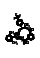 Cc1cccc(C)c1-c1cc2nc(n1)NS(=O)(=O)c1cccc(c1)C(=O)N[C@H](C)[C@@H](c1ccc(C(F)(F)F)cc1)O2